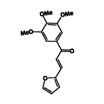 COc1cc(C(=O)C=Cc2ccco2)cc(OC)c1OC